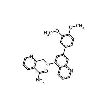 COc1ccc(-c2cc(OCc3ncccc3C(N)=O)c3cccnc3c2)cc1OC